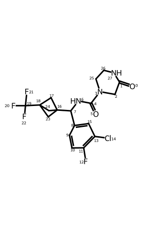 O=C1CN(C(=O)NC(c2ccc(F)c(Cl)c2)C23CC(C(F)(F)F)(C2)C3)CCN1